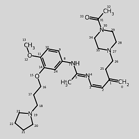 C=C(/C=C\N=C(/C)Nc1ccc(OC)c(OCCCN2CCCC2)c1)CCN1CCN(C(C)=O)CC1